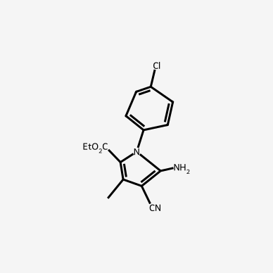 CCOC(=O)c1c(C)c(C#N)c(N)n1-c1ccc(Cl)cc1